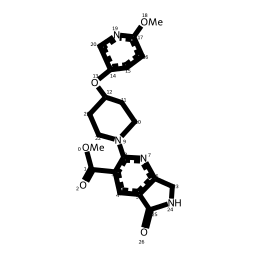 COC(=O)c1cc2c(nc1N1CCC(Oc3ccc(OC)nc3)CC1)CNC2=O